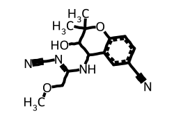 COCC(=NC#N)NC1c2cc(C#N)ccc2OC(C)(C)C1O